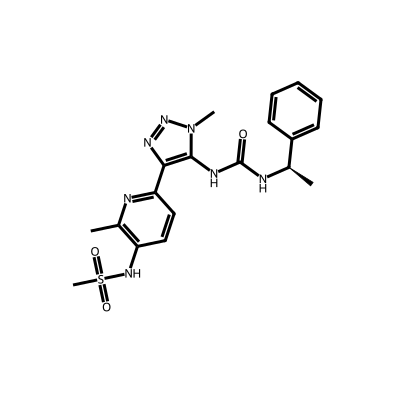 Cc1nc(-c2nnn(C)c2NC(=O)N[C@H](C)c2ccccc2)ccc1NS(C)(=O)=O